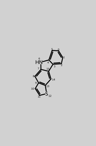 c1ccc2c(c1)[nH]c1cc3ccsc3cc12